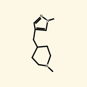 CN1CCC(Cc2cnn(C)c2)CC1